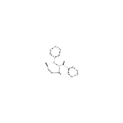 O=C1C=CC(=O)C(c2ccccc2)=C1C(=O)c1ccccc1